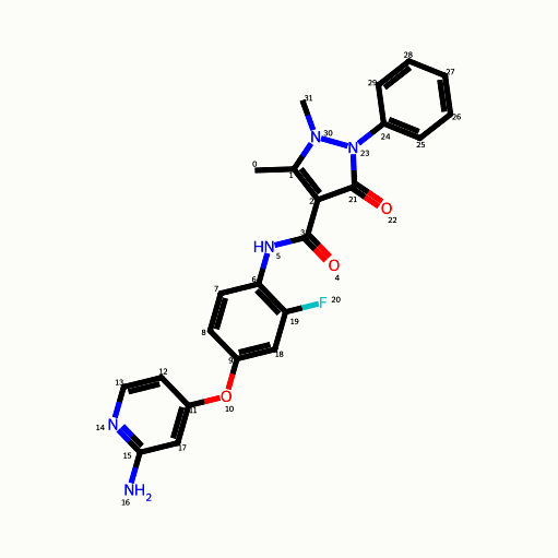 Cc1c(C(=O)Nc2ccc(Oc3ccnc(N)c3)cc2F)c(=O)n(-c2ccccc2)n1C